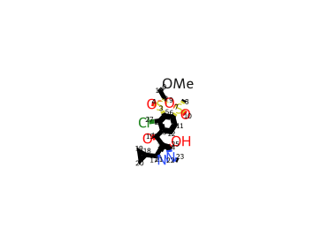 COCC[S+]([O-])c1c(S(C)(=O)=O)ccc(C(=O)c2c(C3CC3)nn(C)c2O)c1Cl